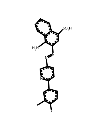 Cc1cc(-c2ccc(N=Nc3cc(S(=O)(=O)O)c4ccccc4c3N)cn2)ccc1F